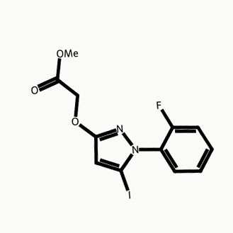 COC(=O)COc1cc(I)n(-c2ccccc2F)n1